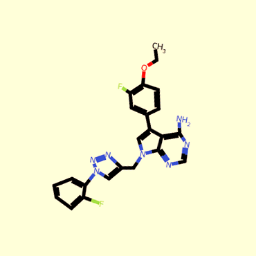 CCOc1ccc(-c2cn(Cc3cn(-c4ccccc4F)nn3)c3ncnc(N)c23)cc1F